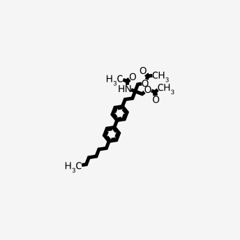 CCCCCCc1ccc(-c2ccc(CCC(COC(C)=O)(COC(C)=O)NC(C)=O)cc2)cc1